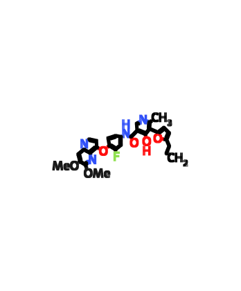 C=CCc1ccc(-c2c(C)ncc(C(=O)Nc3ccc(Oc4ccnc5cc(OC)c(OC)nc45)c(F)c3)c2O)o1